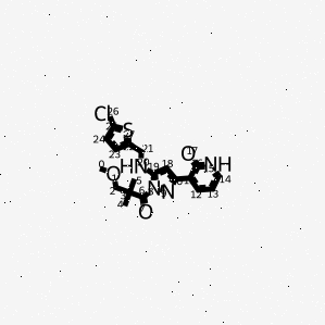 COCC(C)(C)C(=O)n1nc(-c2ccc[nH]c2=O)cc1NCc1ccc(Cl)s1